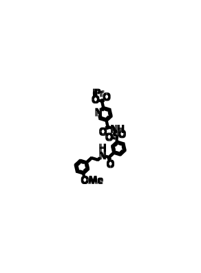 COc1cccc(CCNC(=O)c2cccc(S(=O)(=O)NC(=O)c3ccc(C(=O)OC(C)C)nc3)c2)c1